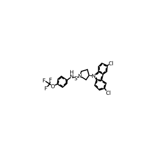 FC(F)(F)Oc1ccc(NSN2CC[C@@H](n3c4ccc(Cl)cc4c4cc(Cl)ccc43)C2)cc1